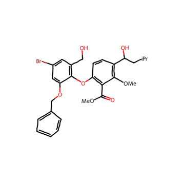 COC(=O)c1c(Oc2c(CO)cc(Br)cc2OCc2ccccc2)ccc(C(O)CC(C)C)c1OC